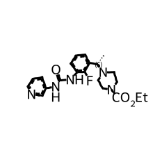 CCOC(=O)N1CCN([C@@H](C)c2cccc(NC(=O)Nc3cccnc3)c2F)CC1